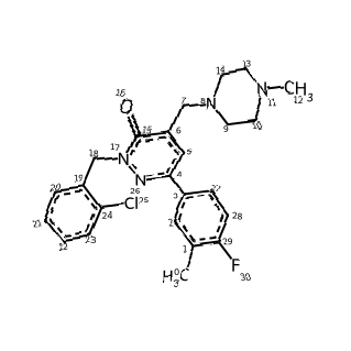 Cc1cc(-c2cc(CN3CCN(C)CC3)c(=O)n(Cc3ccccc3Cl)n2)ccc1F